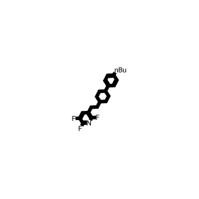 CCCCc1ccc(C2CCC(CCc3cc(F)c(F)nc3F)CC2)cc1